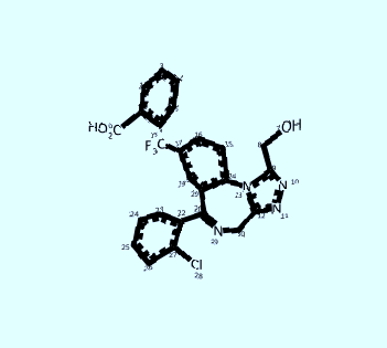 O=C(O)c1ccccc1.OCc1nnc2n1-c1ccc(C(F)(F)F)cc1C(c1ccccc1Cl)=NC2